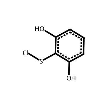 Oc1cccc(O)c1SCl